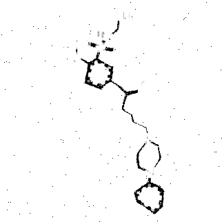 CCNS(=O)(=O)c1cc(C(=O)CCCCN2CCN(c3ccccc3)CC2)ccc1[S+](C)[O-]